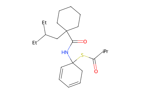 CCC(CC)CC1(C(=O)NC2(SC(=O)C(C)C)C=CC=CC2)CCCCC1